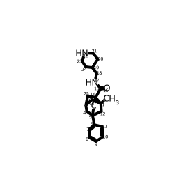 CC12CC3CC(c4ccccc4)(C1)CC2(C(=O)NCC1CCNCC1)C3